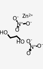 O=[N+]([O-])[O-].O=[N+]([O-])[O-].OCCO.[Zn+2]